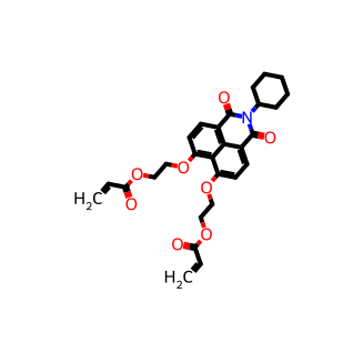 C=CC(=O)OCCOc1ccc2c3c(ccc(OCCOC(=O)C=C)c13)C(=O)N(C1CCCCC1)C2=O